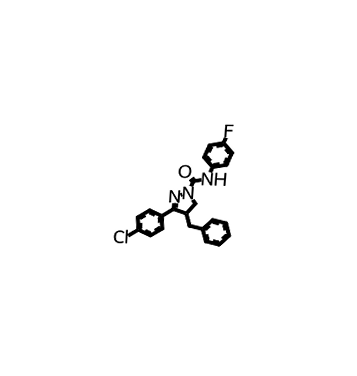 O=C(Nc1ccc(F)cc1)N1CC(Cc2ccccc2)C(c2ccc(Cl)cc2)=N1